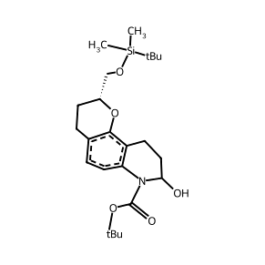 CC(C)(C)OC(=O)N1c2ccc3c(c2CCC1O)O[C@@H](CO[Si](C)(C)C(C)(C)C)CC3